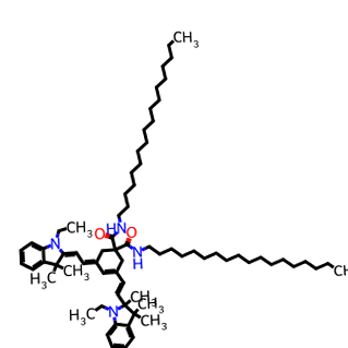 CCCCCCCCCCCCCCCCCCNC(=O)C1(C(=O)NCCCCCCCCCCCCCCCCCC)CC(/C=C/C2(C)N(CC)c3ccccc3C2(C)C)=CC(=C/C=C2/N(CC)c3ccccc3C2(C)C)/C1